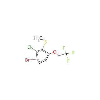 CSc1c(OCC(F)(F)F)ccc(Br)c1Cl